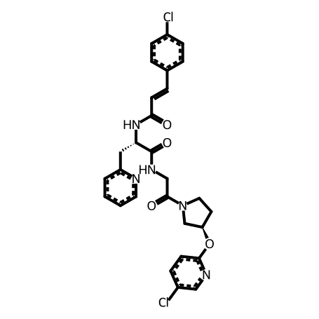 O=C(C=Cc1ccc(Cl)cc1)N[C@@H](Cc1ccccn1)C(=O)NCC(=O)N1CC[C@@H](Oc2ccc(Cl)cn2)C1